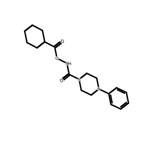 O=C(ONC(=O)N1CCN(c2ccccc2)CC1)C1CCCCC1